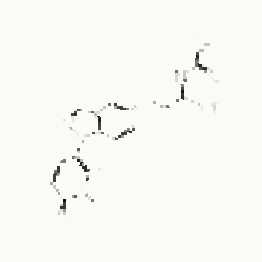 CC(C)C(COc1ccc2c(cnn2-c2ccc(=O)n(C)c2)c1)NC(=O)C(F)(F)F